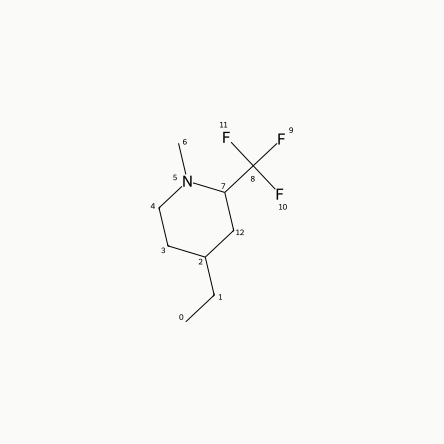 CCC1CCN(C)C(C(F)(F)F)C1